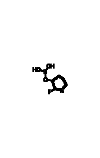 OB(O)Oc1cccnc1F